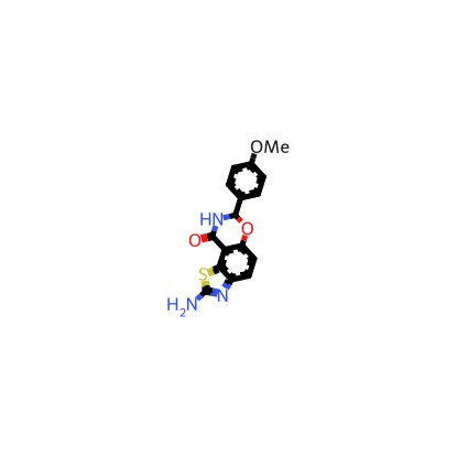 COc1ccc(C2NC(=O)c3c(ccc4nc(N)sc34)O2)cc1